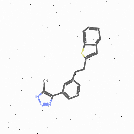 N#Cc1[nH]nnc1-c1cccc(CCc2cc3ccccc3s2)c1